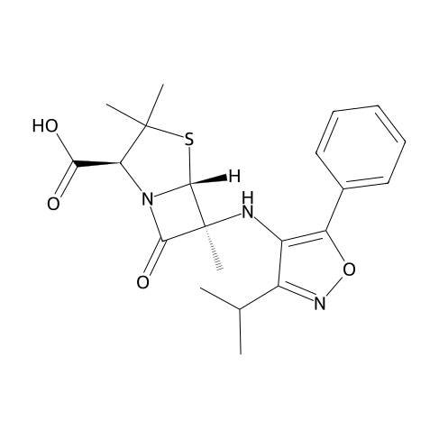 CC(C)c1noc(-c2ccccc2)c1N[C@@]1(C)C(=O)N2[C@@H](C(=O)O)C(C)(C)S[C@@H]21